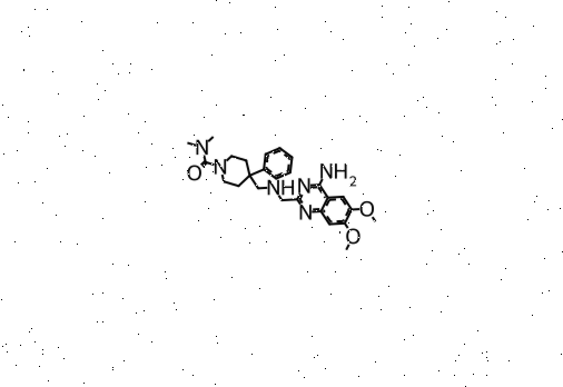 COc1cc2nc(CNCC3(c4ccccc4)CCN(C(=O)N(C)C)CC3)nc(N)c2cc1OC